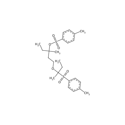 CCC(C)(CCOC(C)(CC)S(=O)(=O)c1ccc(C)cc1)OS(=O)(=O)c1ccc(C)cc1